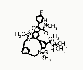 CNC(=O)c1c(-c2ccc(F)cc2)oc2cc3c(cc12)-c1cc(C(=O)NC(C)(C)C)cc(c1)N([S+](C)[O-])CCc1ccc(cc1)CCN3[S+](C)[O-]